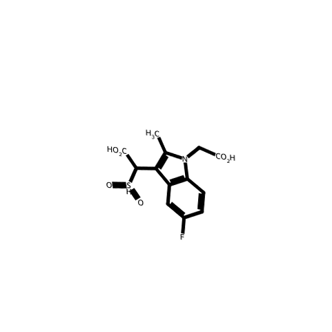 Cc1c(C(C(=O)O)[SH](=O)=O)c2cc(F)ccc2n1CC(=O)O